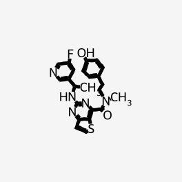 CC(Nc1nc(C(=O)N(C)CCc2ccc(O)cc2)c2sccc2n1)c1cncc(F)c1